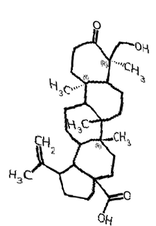 C=C(C)C1CCC2(C(=O)O)CC[C@]3(C)C(CCC4C3(C)CCC3[C@]4(C)CCC(=O)[C@@]3(C)CO)C12